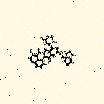 CCc1c(F)ccc2cccc(-c3ncc4c(N5CCCC(C)C5)nc(OCC56CCCN5CCC6)nc4c3F)c12